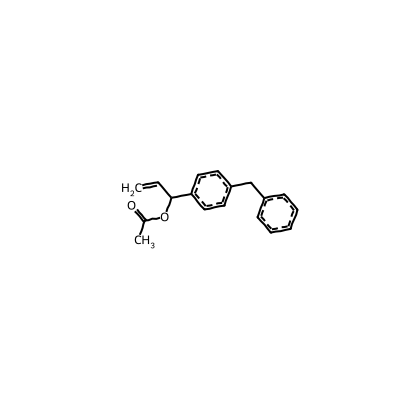 C=CC(OC(C)=O)c1ccc(Cc2ccccc2)cc1